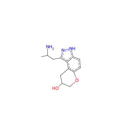 CC(N)Cc1n[nH]c2ccc3c(c12)CC(O)CO3